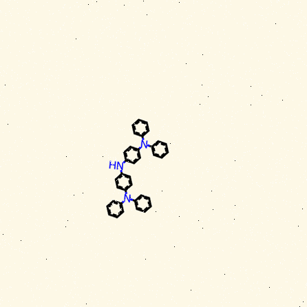 c1ccc(N(c2ccccc2)c2ccc(Nc3ccc(N(c4ccccc4)c4ccccc4)cc3)cc2)cc1